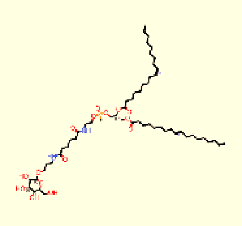 CCCCCCCC/C=C\CCCCCCCC(=O)O[C@H](COC(=O)CCCCCCC/C=C/CCCCCCCC)COP(C)(=O)OCCNC(=O)CCCCC(=O)NCCCO[C@@H]1OC(CO)[C@H](O)[C@H](O)C1O